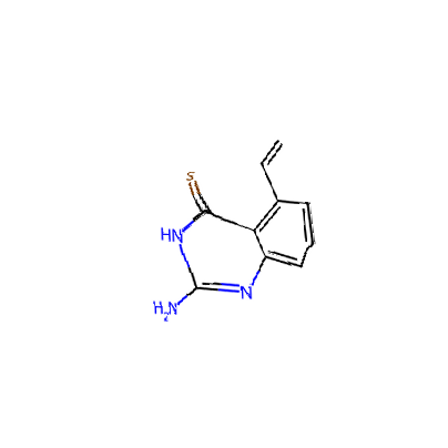 C=Cc1cccc2nc(N)[nH]c(=S)c12